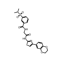 CN(C)S(=O)(=O)c1cccc(C(=O)NCC(=O)Nc2nc(-c3ccc4c(c3)OCCO4)cs2)c1